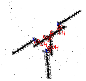 CCCCCCCCCCCCCCCCCCCN(C)CC(=O)OC(CCCCC)C(O)C/C=C/CC(=O)OCC(COC(=O)C/C=C/CC(O)C(CCCCC)OC(=O)CN(C)CCCCCCCCCCCCCCCCCCC)OC(=O)C/C=C/CC(O)C(CCCCC)OC(=O)CN(C)CCCCCCCCCCCCCCCCCCC